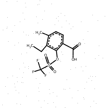 CCc1c(C)ccc(C(=O)O)c1OS(=O)(=O)C(F)(F)F